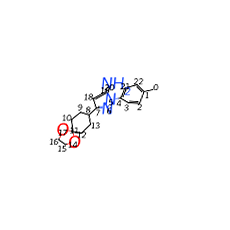 Cc1ccc(-n2nc(C3CCC4(CC3)OCCO4)cc2N)cc1